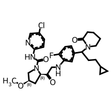 CO[C@@H]1C[C@H](C(=O)CNc2cc(C(CCC3CC3)N3CCCCC3=O)ccc2F)N(C(=O)Nc2ccc(Cl)cn2)C1